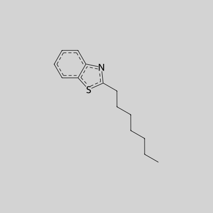 CCCCCCCc1nc2ccccc2s1